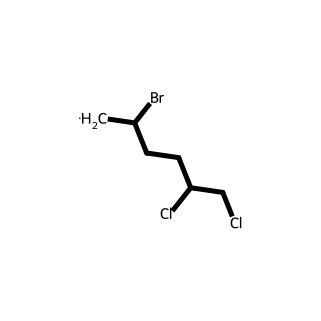 [CH2]C(Br)CCC(Cl)CCl